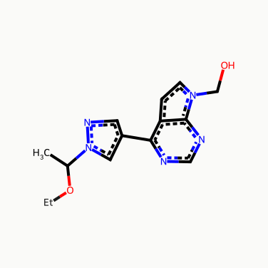 CCOC(C)n1cc(-c2ncnc3c2ccn3CO)cn1